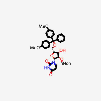 CCCCCCCCCO[C@@H]1[C@H](O)[C@@H](COC(c2ccccc2)(c2ccc(OC)cc2)c2ccc(OC)cc2)O[C@H]1n1ccc(=O)[nH]c1=O